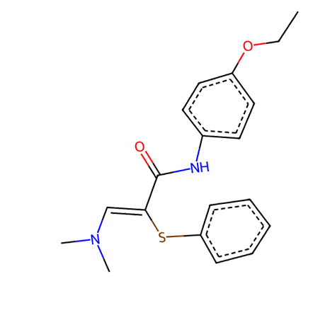 CCOc1ccc(NC(=O)/C(=C/N(C)C)Sc2ccccc2)cc1